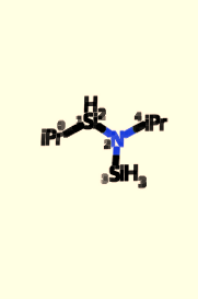 CC(C)[SiH2]N([SiH3])C(C)C